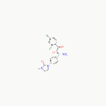 CN1CCN(c2ccc3c(N)c(C(=O)c4ccc(Cl)cc4Cl)oc3c2)C1=O